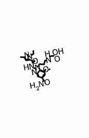 CCn1nc(C)cc1C(=O)Nc1nc2cc(C(N)=O)cc(OC)c2n1CCCNCC(=O)O